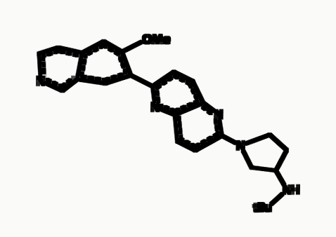 COc1cc2ccncc2cc1-c1ccc2nc(N3CCC(NC(C)(C)C)C3)ccc2n1